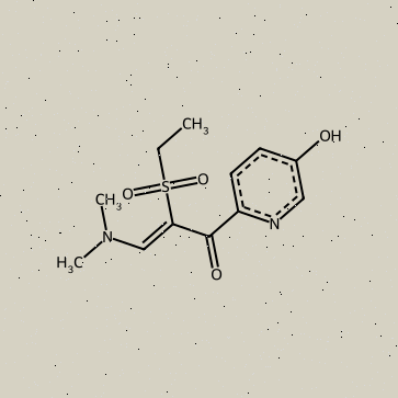 CCS(=O)(=O)C(=CN(C)C)C(=O)c1ccc(O)cn1